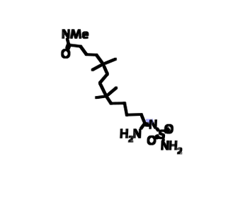 CNC(=O)CCCC(C)(C)CCC(C)(C)CCCC/C(N)=N/S(N)(=O)=O